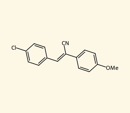 COc1ccc(/C(C#N)=C/c2ccc(Cl)cc2)cc1